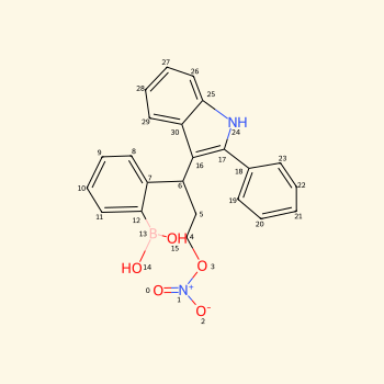 O=[N+]([O-])OCCC(c1ccccc1B(O)O)c1c(-c2ccccc2)[nH]c2ccccc12